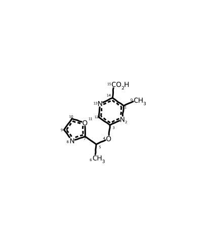 Cc1nc(OC(C)c2ncco2)cnc1C(=O)O